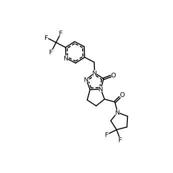 O=C(C1CCc2nn(Cc3ccc(C(F)(F)F)nc3)c(=O)n21)N1CCC(F)(F)C1